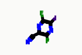 N#Cc1nc(F)c(I)nc1F